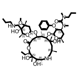 CCCNC[C@]1(O)[C@H](C)O[C@@H](O[C@H]2[C@H](C)[C@@H](O[C@@H]3O[C@H](C)C[C@H](N(C)C(=O)N(C)CCC)[C@H]3Oc3ccccc3)[C@](C)(O)C[C@@H](C)CN[C@H](C)[C@@H](O)[C@](C)(O)[C@@H](CC)OC(=O)[C@@H]2C)C[C@@]1(C)OC